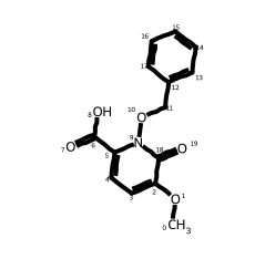 COc1ccc(C(=O)O)n(OCc2ccccc2)c1=O